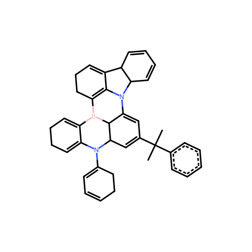 CC(C)(C1=CC2C3B(C4=CCCC=C4N2C2=CC=CCC2)C2=C4C(=CCC2)C2C=CC=CC2N4C3=C1)c1ccccc1